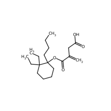 C=C(CC(=O)O)C(=O)OC1(CCCC)CCCCC1(CC)CC